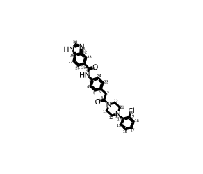 O=C(Nc1ccc(CC(=O)N2CCN(c3ccccc3Cl)CC2)cc1)c1ccc2[nH]cnc2c1